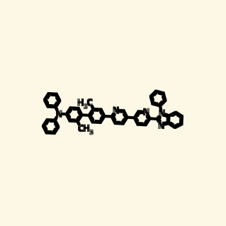 Cc1cc(-c2ccc(-c3ccc(-c4nc5ccccc5n4-c4ccccc4)nc3)cn2)ccc1-c1ccc(N(c2ccccc2)c2ccccc2)cc1C